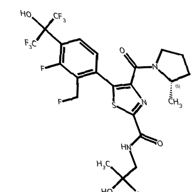 C[C@H]1CCCN1C(=O)c1nc(C(=O)NCC(C)(C)O)sc1-c1ccc(C(O)(C(F)(F)F)C(F)(F)F)c(F)c1CF